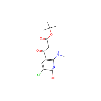 CNc1nc(O)c(Cl)cc1C(=O)CC(=O)OC(C)(C)C